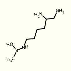 CB(O)NCCCCC(N)CN